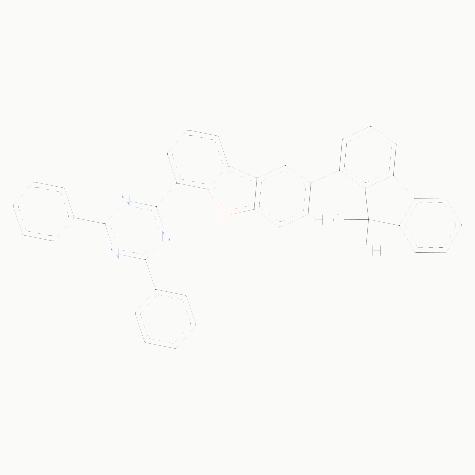 CC1(C)c2ccccc2-c2cccc(-c3ccc4oc5c(-c6nc(-c7ccccc7)nc(-c7ccccc7)n6)cccc5c4c3)c21